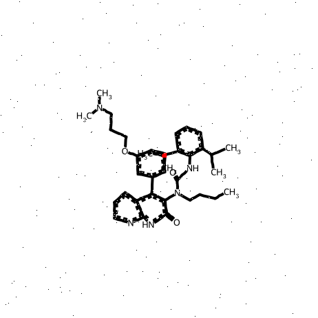 CCCCN(C(=O)Nc1c(C(C)C)cccc1C(C)C)c1c(-c2cccc(OCCCN(C)C)c2)c2cccnc2[nH]c1=O